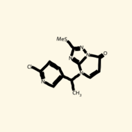 CSc1nc2n(C(C)c3ccc(Cl)nc3)ccc(=O)n2n1